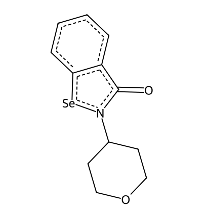 O=c1c2ccccc2[se]n1C1CCOCC1